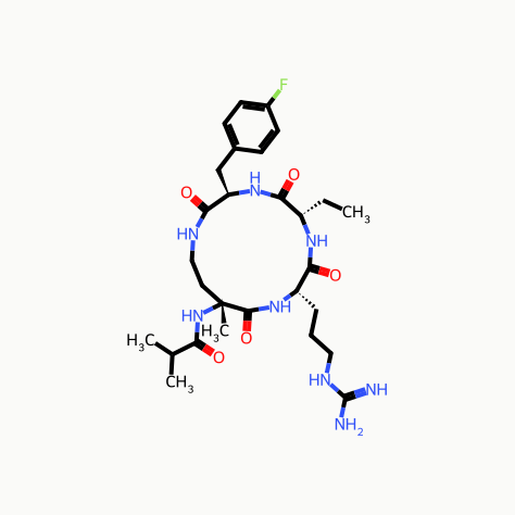 CC[C@@H]1NC(=O)[C@H](CCCNC(=N)N)NC(=O)[C@](C)(NC(=O)C(C)C)CCNC(=O)[C@@H](Cc2ccc(F)cc2)NC1=O